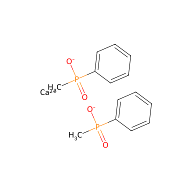 CP(=O)([O-])c1ccccc1.CP(=O)([O-])c1ccccc1.[Ca+2]